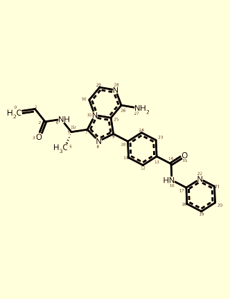 C=CC(=O)N[C@@H](C)c1nc(-c2ccc(C(=O)Nc3ccccn3)cc2)c2c(N)nccn12